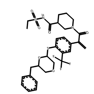 C=C(C(=O)N1CCCC(C(=O)NS(=O)(=O)CC)C1)c1ccc(SC2COCC(Cc3ccccc3)O2)c(C(F)(F)F)c1